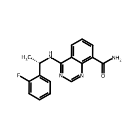 C[C@H](Nc1ncnc2c(C(N)=O)cccc12)c1ccccc1F